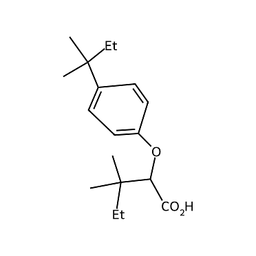 CCC(C)(C)c1ccc(OC(C(=O)O)C(C)(C)CC)cc1